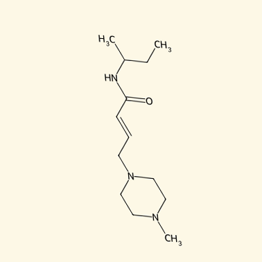 CCC(C)NC(=O)/C=C/CN1CCN(C)CC1